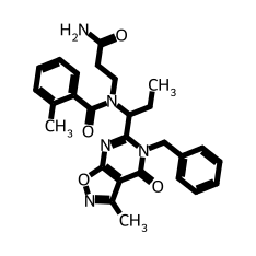 CCC(c1nc2onc(C)c2c(=O)n1Cc1ccccc1)N(CCC(N)=O)C(=O)c1ccccc1C